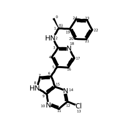 C[C@H](Nc1cc(-c2c[nH]c3ncc(Cl)nc23)ccn1)c1ccccc1